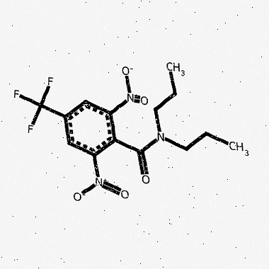 CCCN(CCC)C(=O)c1c([N+](=O)[O-])cc(C(F)(F)F)cc1[N+](=O)[O-]